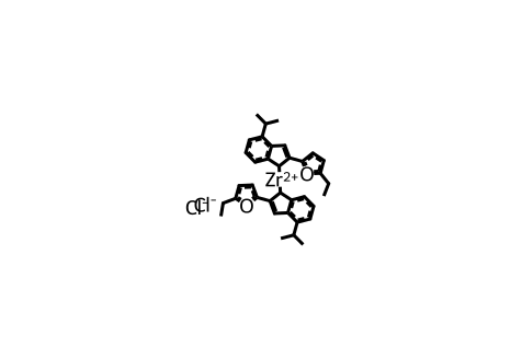 CCc1ccc(C2=Cc3c(C(C)C)cccc3[CH]2[Zr+2][CH]2C(c3ccc(CC)o3)=Cc3c(C(C)C)cccc32)o1.[Cl-].[Cl-]